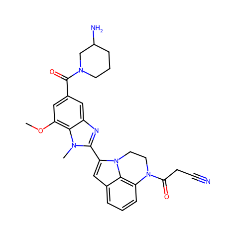 COc1cc(C(=O)N2CCCC(N)C2)cc2nc(-c3cc4cccc5c4n3CCN5C(=O)CC#N)n(C)c12